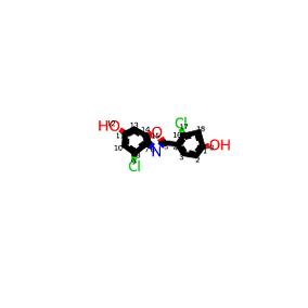 Oc1ccc(-c2nc3c(Cl)cc(O)cc3o2)c(Cl)c1